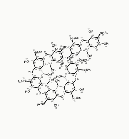 CC(=O)N[C@H]1[C@H](OC2[C@@H](CO)O[C@@H](OC3[C@@H](CO)O[C@@H](OC4[C@@H](CO)O[C@@H](OC5[C@@H](CO)O[C@@H](OC6[C@@H](CO)O[C@@H](OC7[C@@H](CO)O[C@@H](OC8[C@@H](CO)O[C@@H](O)[C@H](NC(C)=O)[C@H]8O)[C@H](NC(C)=O)[C@H]7O)[C@H](NC(C)=O)[C@H]6O)[C@H](NC(C)=O)[C@H]5O)[C@H](NC(C)=O)[C@H]4O)[C@H](NC(C)=O)[C@H]3O)[C@H](NC(C)=O)[C@H]2O)O[C@H](CO)[C@@H](O)[C@@H]1O